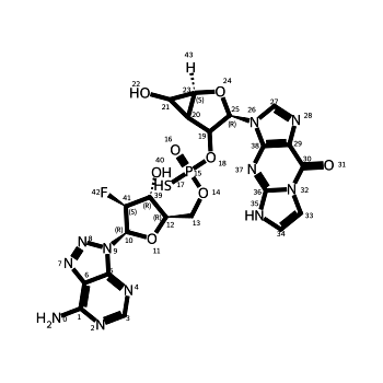 Nc1ncnc2c1nnn2[C@@H]1O[C@H](COP(=O)(S)OC2C3C(O)[C@H]3O[C@H]2n2cnc3c(=O)n4cc[nH]c4nc32)[C@@H](O)[C@@H]1F